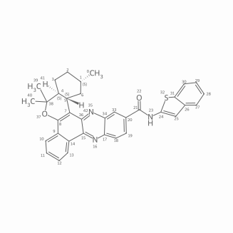 C[C@H]1CC[C@H]2[C@H](C1)c1c(c3ccccc3c3nc4ccc(C(=O)Nc5cc6ccccc6s5)cc4nc13)OC2(C)C